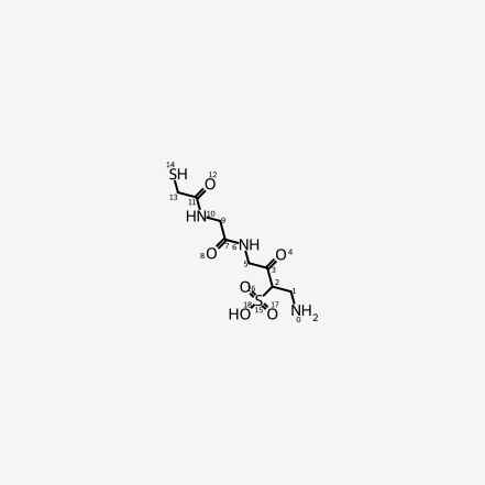 NCC(C(=O)CNC(=O)CNC(=O)CS)S(=O)(=O)O